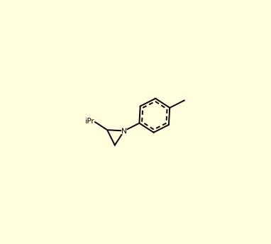 Cc1ccc(N2CC2C(C)C)cc1